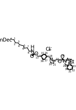 CCCCCCCCCCCCCCCCCCNC(=O)OCc1ccc(CN2CCC2COC(=O)N(Cc2cccc[n+]2CC)C(C)=O)cc1.[Cl-]